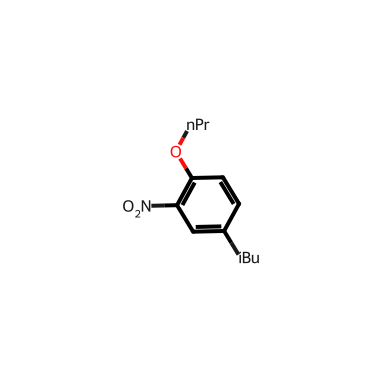 CCCOc1ccc(C(C)CC)cc1[N+](=O)[O-]